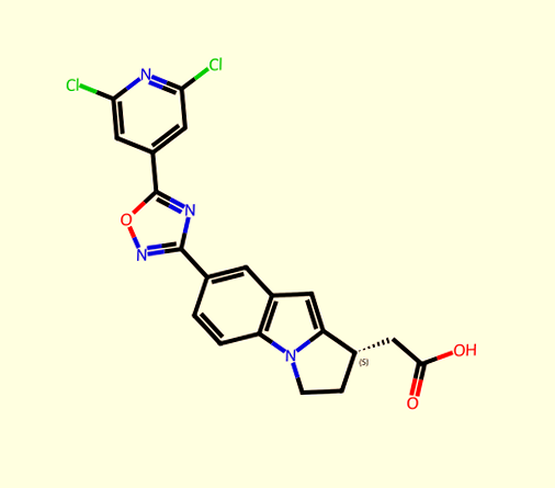 O=C(O)C[C@@H]1CCn2c1cc1cc(-c3noc(-c4cc(Cl)nc(Cl)c4)n3)ccc12